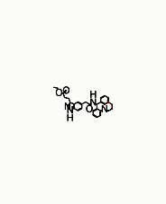 CCOC(=O)CCc1n[nH]c2ccc(CC(=O)NC(c3ccccc3)c3ccccc3N3CCCCC3)cc12